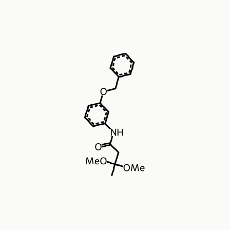 COC(C)(CC(=O)Nc1cccc(OCc2ccccc2)c1)OC